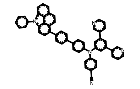 N#Cc1ccc(N(c2ccc(-c3ccc(-c4ccc5c6c4ccc4cccc(c46)n5-c4ccccc4)cc3)cc2)c2cc(-c3cccnc3)cc(-c3cccnc3)c2)cc1